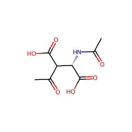 CC(=O)N[C@H](C(=O)O)C(C(C)=O)C(=O)O